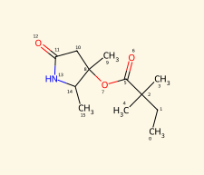 CCC(C)(C)C(=O)OC1(C)CC(=O)NC1C